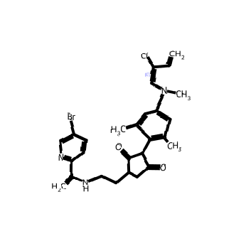 C=C/C(Cl)=C\N(C)c1cc(C)c(C2C(=O)CC(CCNC(=C)c3ccc(Br)cn3)C2=O)c(C)c1